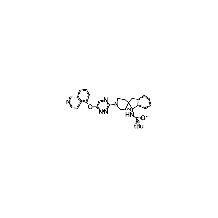 CC(C)(C)[S@@+]([O-])N[C@@H]1c2ccccc2CC12CCN(c1ncc(Oc3cccc4cnccc34)nn1)CC2